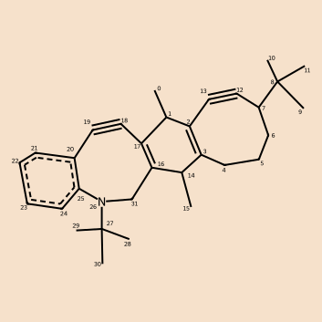 CC1C2=C(CCCC(C(C)(C)C)C#C2)C(C)C2=C1C#Cc1ccccc1N(C(C)(C)C)C2